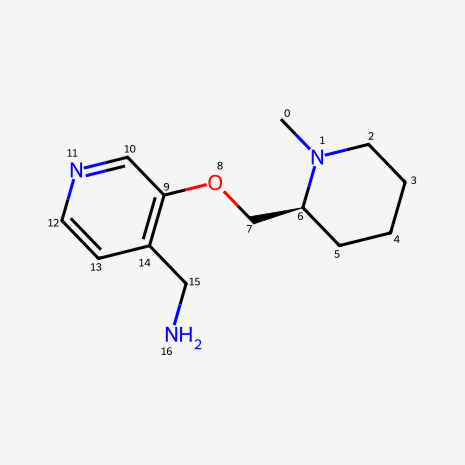 CN1CCCC[C@H]1COc1cnccc1CN